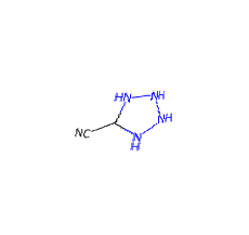 N#CC1NNNN1